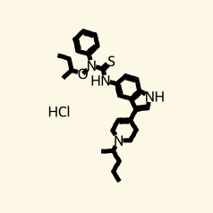 CCCC(C)N1CC=C(c2c[nH]c3ccc(NC(=S)N(OC(C)CC)c4ccccc4)cc23)CC1.Cl